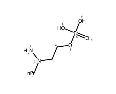 CCCN(N)CCOP(=O)(O)O